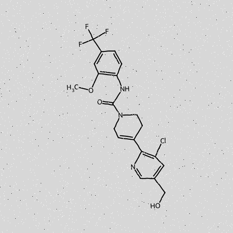 COc1cc(C(F)(F)F)ccc1NC(=O)N1CC=C(c2ncc(CO)cc2Cl)CC1